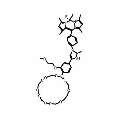 COCCOc1cc(C2=CN(c3ccc(C4=C5C(C)=CC(C)=[N+]5[B-](F)(F)n5c(C)cc(C)c54)cc3)N(C)N2)ccc1N1CCOCCOCCOCCOCCOCC1